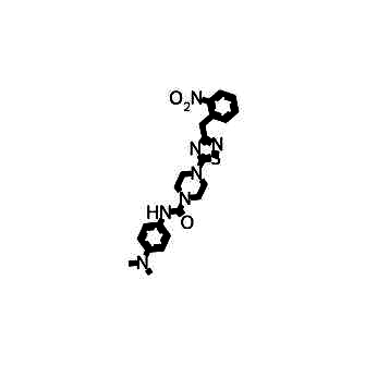 CN(C)c1ccc(NC(=O)N2CCN(c3nc(Cc4ccccc4[N+](=O)[O-])ns3)CC2)cc1